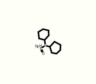 O=[SH](=O)N(C1CCCCC1)C1CCCCC1